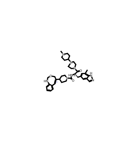 Cc1cc(C[C@@H](NC(=O)N2CCC(/C3=C/c4ccccc4NCOC3)CC2)C(=O)N2CCN(C3CCN(C)CC3)CC2)cc2cn[nH]c12